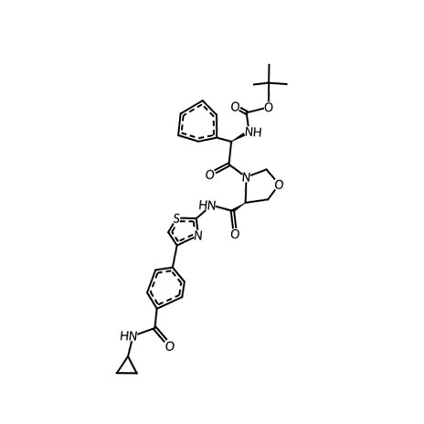 CC(C)(C)OC(=O)N[C@@H](C(=O)N1COC[C@H]1C(=O)Nc1nc(-c2ccc(C(=O)NC3CC3)cc2)cs1)c1ccccc1